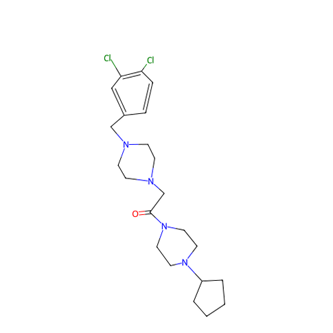 O=C(CN1CCN(Cc2ccc(Cl)c(Cl)c2)CC1)N1CCN(C2CCCC2)CC1